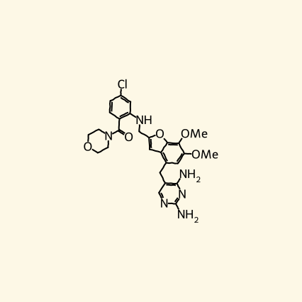 COc1cc(Cc2cnc(N)nc2N)c2cc(CNc3cc(Cl)ccc3C(=O)N3CCOCC3)oc2c1OC